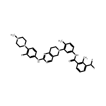 Cc1ccc(NC(=O)c2cccc(C(F)F)c2C)cc1N1CCc2nc(Nc3ccc(N4CCN(C)CC4)c(F)c3)ncc2C1